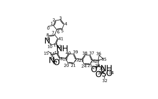 Cc1ccccc1-c1cncc(Nc2c(C)noc2-c2ccc(-c3ccc(C4(C(=O)NS(C)(=O)=O)CC4)cc3)cc2)c1